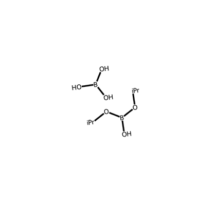 CC(C)OB(O)OC(C)C.OB(O)O